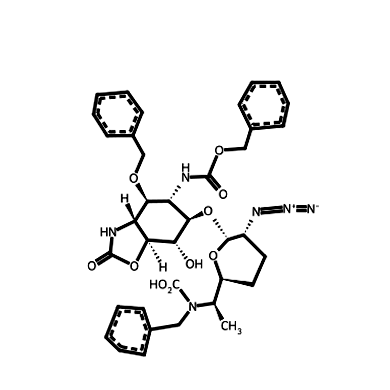 C[C@H]([C@@H]1CC[C@@H](N=[N+]=[N-])[C@@H](O[C@H]2[C@H](O)[C@H]3OC(=O)N[C@@H]3[C@@H](OCc3ccccc3)[C@@H]2NC(=O)OCc2ccccc2)O1)N(Cc1ccccc1)C(=O)O